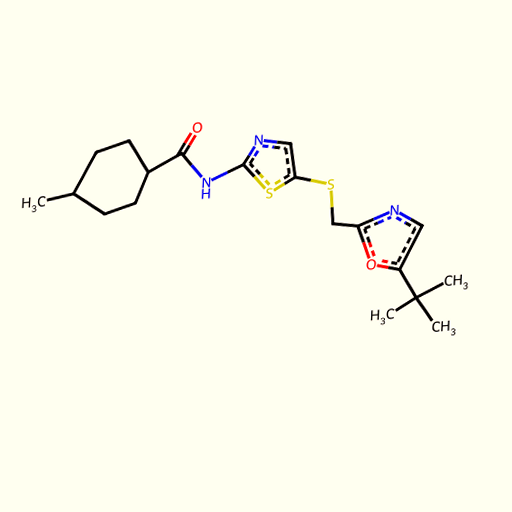 CC1CCC(C(=O)Nc2ncc(SCc3ncc(C(C)(C)C)o3)s2)CC1